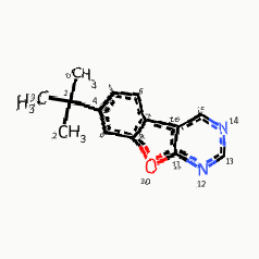 CC(C)(C)c1ccc2c(c1)oc1ncncc12